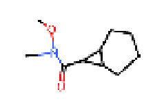 CON(C)C(=O)C1C2CCCCC21